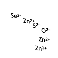 [O-2].[S-2].[Se-2].[Zn+2].[Zn+2].[Zn+2]